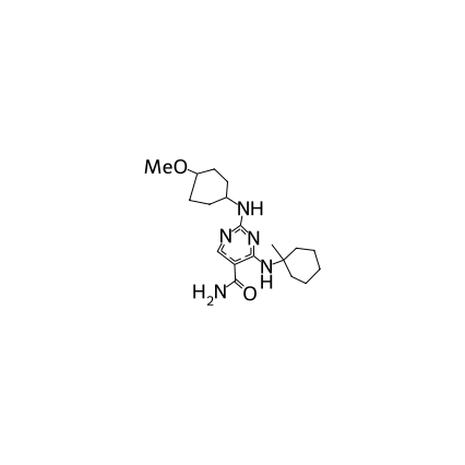 COC1CCC(Nc2ncc(C(N)=O)c(NC3(C)CCCCC3)n2)CC1